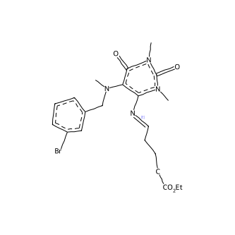 CCOC(=O)CCC/C=N/c1c(N(C)Cc2cccc(Br)c2)c(=O)n(C)c(=O)n1C